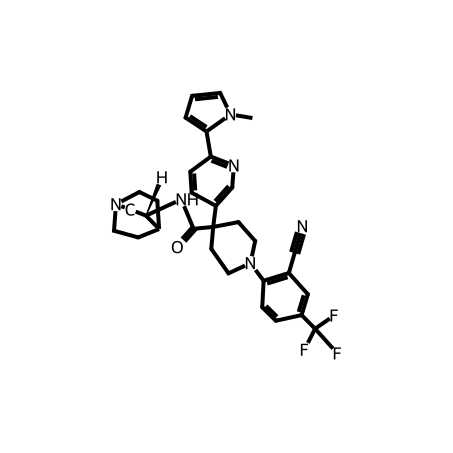 Cn1cccc1-c1ccc(C2(C(=O)N[C@H]3CN4CCC3CC4)CCN(c3ccc(C(F)(F)F)cc3C#N)CC2)cn1